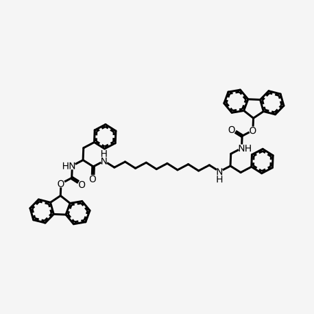 O=C(NCC(Cc1ccccc1)NCCCCCCCCCCNC(=O)C(Cc1ccccc1)NC(=O)OC1c2ccccc2-c2ccccc21)OC1c2ccccc2-c2ccccc21